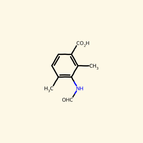 Cc1ccc(C(=O)O)c(C)c1NC=O